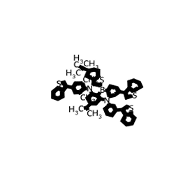 Cc1cc(-c2csc3ccccc23)cc(C)c1N1c2cc(C(C)C)cc3c2B(c2ccc(-c4csc5ccccc45)cc2N3c2cccc(-c3csc4ccccc34)c2)c2sc3ccc(C(C)(C)C)cc3c21